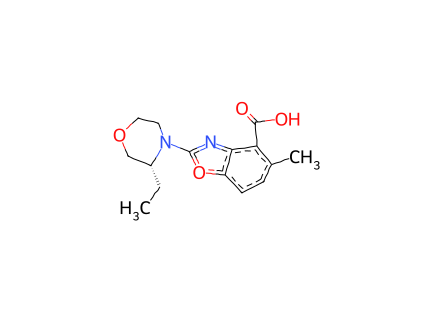 CC[C@@H]1COCCN1c1nc2c(C(=O)O)c(C)ccc2o1